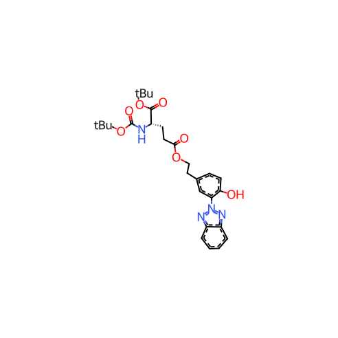 CC(C)(C)OC(=O)N[C@@H](CCC(=O)OCCc1ccc(O)c(-n2nc3ccccc3n2)c1)C(=O)OC(C)(C)C